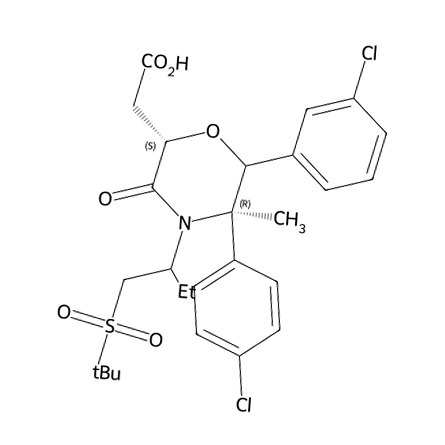 CCC(CS(=O)(=O)C(C)(C)C)N1C(=O)[C@H](CC(=O)O)OC(c2cccc(Cl)c2)[C@@]1(C)c1ccc(Cl)cc1